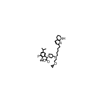 COc1c(F)cc(C(C)C)cc1[C@@H](C(=O)O)N1CC[C@@H](N(CCCCCc2ccc3c(n2)NCCC3)CCOC2CC2)C1